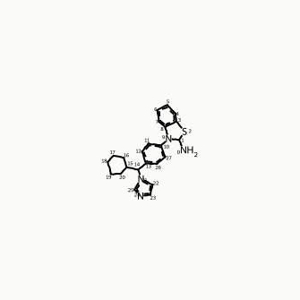 NC1Sc2ccccc2N1c1ccc(C(C2CCCCC2)n2ccnc2)cc1